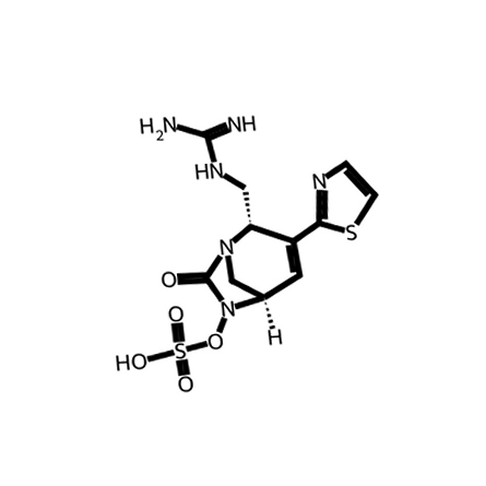 N=C(N)NC[C@@H]1C(c2nccs2)=C[C@@H]2CN1C(=O)N2OS(=O)(=O)O